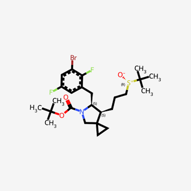 CC(C)(C)OC(=O)N1CC2(CC2)[C@H](CCC[S@+]([O-])C(C)(C)C)[C@@H]1Cc1cc(F)cc(Br)c1F